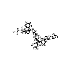 CCCCCCc1ccccc1C(O)CCCN1CCC(=C(c2ccccc2)c2cccc(OCCCCC)c2)CC1